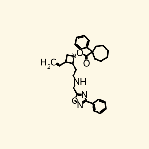 C=CC1C[C@H](OC(=O)C2(c3ccccc3)CCCCCC2)C1CCNCc1nc(-c2ccccc2)no1